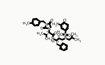 Cc1ccc(CN2C(=O)CN([C@H](C(=O)N[C@@H](Cc3ccccc3)[C@H](O)CN(CC(C)C)S(=O)(=O)c3ccc(Cl)c(N)c3)C(C)C)C2=O)cc1